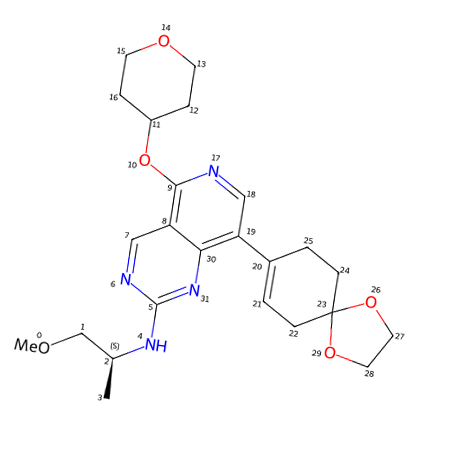 COC[C@H](C)Nc1ncc2c(OC3CCOCC3)ncc(C3=CCC4(CC3)OCCO4)c2n1